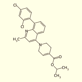 Cc1cc(N2CC=C(C(=O)OC(C)C)CC2)c2cccc(-c3ccc(Cl)cc3Cl)c2n1